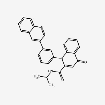 CC(C)NC(=O)c1cc(=O)c2cccnc2n1-c1cccc(-c2cnc3ccccc3c2)c1